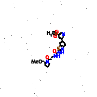 COC[C@H]1CCCN1C(=O)CCNC(=O)Nc1nc2ccc(-c3cncc(S(C)(=O)=O)c3)cc2s1